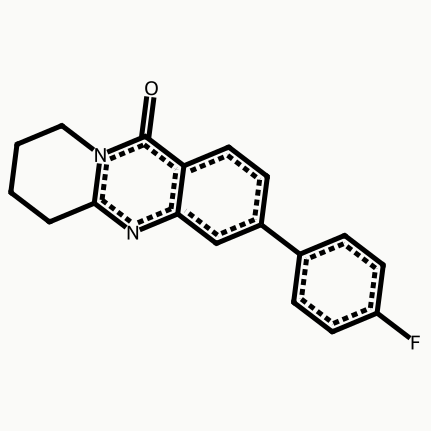 O=c1c2ccc(-c3ccc(F)cc3)cc2nc2n1CCCC2